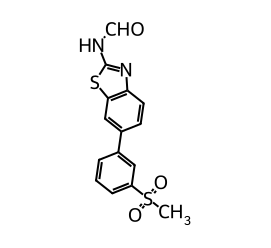 CS(=O)(=O)c1cccc(-c2ccc3nc(NC=O)sc3c2)c1